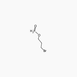 O=[PH2]OCCCBr